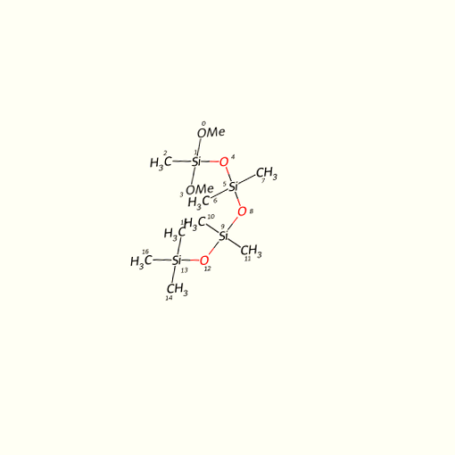 CO[Si](C)(OC)O[Si](C)(C)O[Si](C)(C)O[Si](C)(C)C